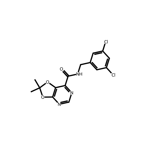 CC1(C)Oc2ncnc(C(=O)NCc3cc(Cl)cc(Cl)c3)c2O1